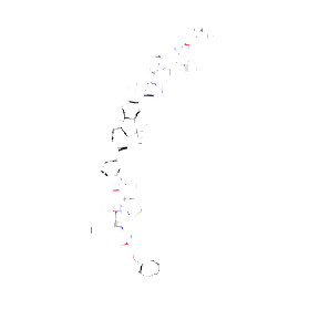 COC(=O)NC(C(=O)N1CCC[C@H]1c1ncc(-c2ccc3c(c2)C(F)(F)c2cc(-c4cccc(NC(=O)[C@@H]5CCCN5C(=O)[C@@H](NC(=O)OCc5ccccc5)C(C)C)c4)ccc2-3)[nH]1)C(C)C